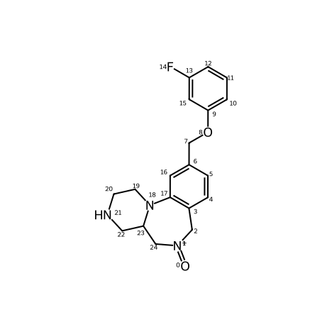 O=[N+]1Cc2ccc(COc3cccc(F)c3)cc2N2CCNCC2C1